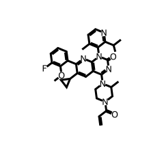 C=CC(=O)N1CCN(c2nc(=O)n(-c3c(C)ccnc3C(C)C)c3nc(-c4cccc(F)c4OC)c(C4CC4)cc23)C(C)C1